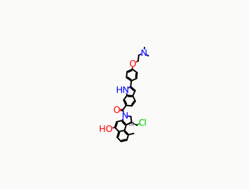 Cc1cccc2c(O)cc3c(c12)[C@H](CCl)CN3C(=O)c1ccc2cc(-c3ccc(OCCN(C)C)cc3)[nH]c2c1